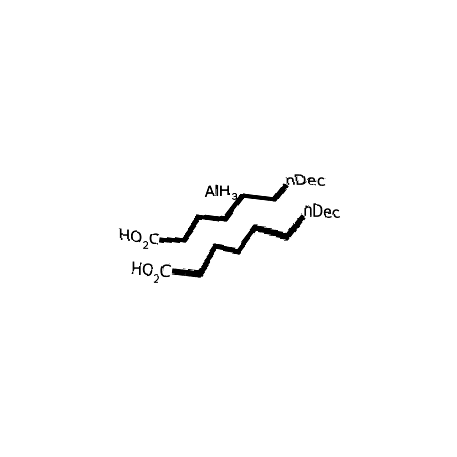 CCCCCCCCCCCCCCCC(=O)O.CCCCCCCCCCCCCCCC(=O)O.[AlH3]